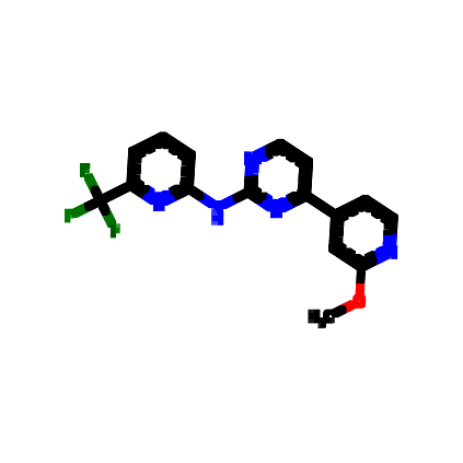 COc1cc(-c2ccnc(Nc3cccc(C(F)(F)F)n3)n2)ccn1